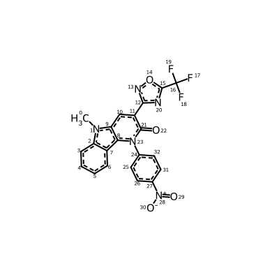 Cn1c2ccccc2c2c1cc(-c1noc(C(F)(F)F)n1)c(=O)n2-c1ccc([N+](=O)[O-])cc1